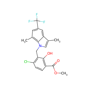 COC(=O)c1ccc(Cl)c(Cn2cc(C)c3cc(C(F)(F)F)cc(C)c32)c1O